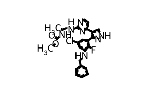 COC(=O)NC(C)CNc1nccc(-c2c[nH]nc2-c2cc(Cl)cc(NCc3ccccc3)c2F)n1